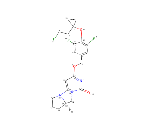 O=c1nc(OCc2cc(F)c(OC3(CCF)CC3)c(F)c2)cc2n1C[C@H]1CCCN21